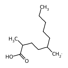 [CH2]C(CCCCC)CCC(C)C(=O)O